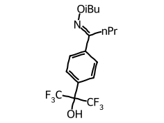 CCCC(=NOCC(C)C)c1ccc(C(O)(C(F)(F)F)C(F)(F)F)cc1